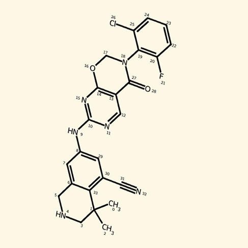 CC1(C)CNCc2cc(Nc3ncc4c(n3)OCN(c3c(F)cccc3Cl)C4=O)cc(C#N)c21